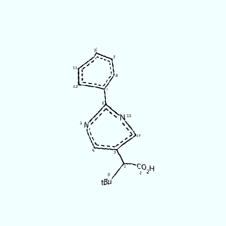 CC(C)(C)C(C(=O)O)c1cnc(-c2ccccc2)nc1